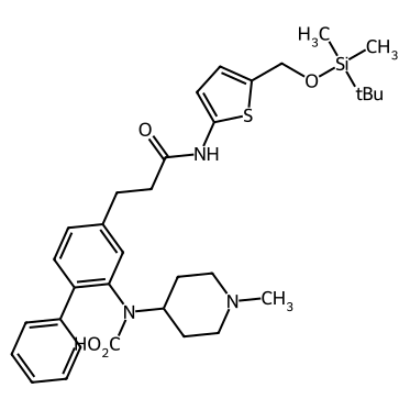 CN1CCC(N(C(=O)O)c2cc(CCC(=O)Nc3ccc(CO[Si](C)(C)C(C)(C)C)s3)ccc2-c2ccccc2)CC1